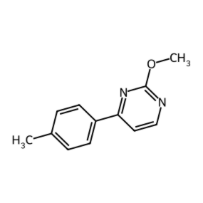 COc1nccc(-c2ccc(C)cc2)n1